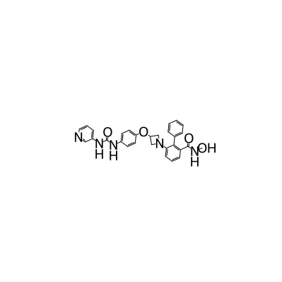 O=C(Nc1ccc(OC2CN(c3cccc(C(=O)NO)c3-c3ccccc3)C2)cc1)Nc1cccnc1